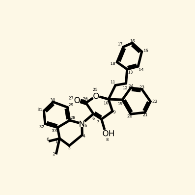 CC1(C)CCN(C2=C(O)CC(CCc3ccccc3)(c3ccccc3)OC2=O)c2ccccc21